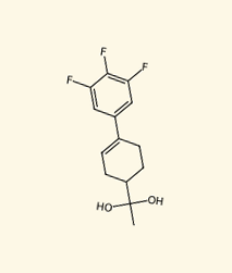 CC(O)(O)C1CC=C(c2cc(F)c(F)c(F)c2)CC1